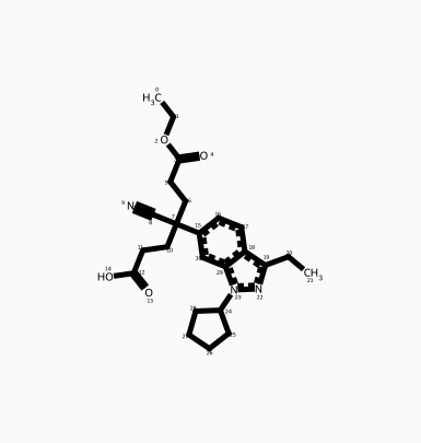 CCOC(=O)CCC(C#N)(CCC(=O)O)c1ccc2c(CC)nn(C3CCCC3)c2c1